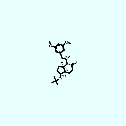 COc1cc(C[C@@H](C)[C@@H]2C(=O)CC[C@]3(C)[C@@H](OC(C)(C)C)CC[C@@H]23)cc(OC)c1